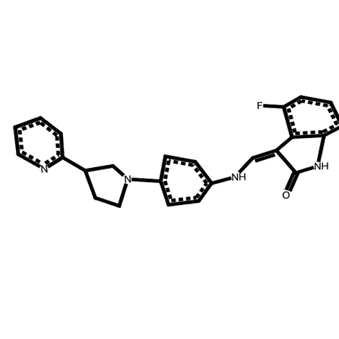 O=C1Nc2cccc(F)c2C1=CNc1ccc(N2CCC(c3ccccn3)C2)cc1